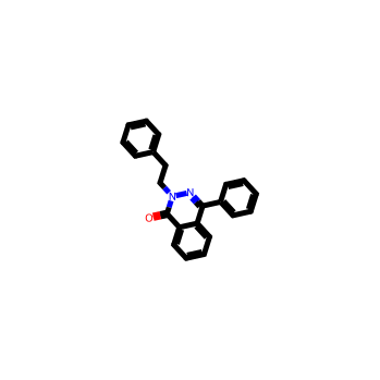 O=c1c2ccccc2c(-c2ccccc2)nn1CCc1ccccc1